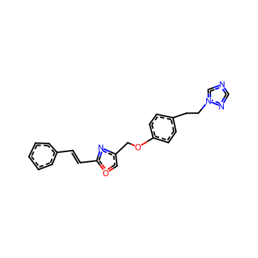 C(=Cc1nc(COc2ccc(CCn3cncn3)cc2)co1)c1ccccc1